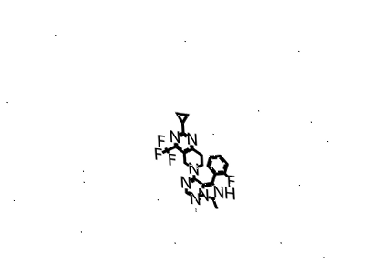 CC1NC(c2ccccc2F)=C2C(N3CCc4nc(C5CC5)nc(C(F)(F)F)c4C3)=NC=NN21